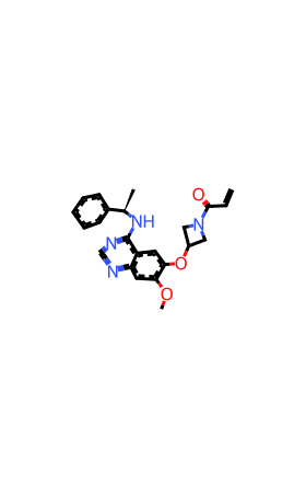 C=CC(=O)N1CC(Oc2cc3c(N[C@H](C)c4ccccc4)ncnc3cc2OC)C1